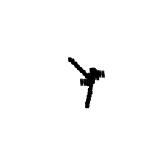 CCCCCCCCCCCCCCC(O)CN(CCc1c[nH]c2ccccc12)CC(O)CCCCCCCCCCCCCC